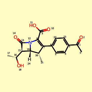 CC(=O)c1ccc(C2=C(C(=O)O)N3C(=O)[C@H]([C@@H](C)O)[C@H]3[C@H]2C)cc1